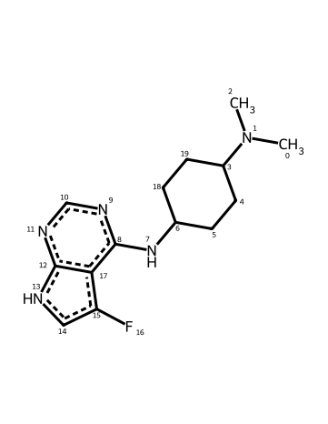 CN(C)C1CCC(Nc2ncnc3[nH]cc(F)c23)CC1